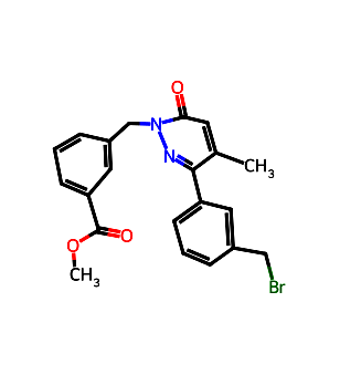 COC(=O)c1cccc(Cn2nc(-c3cccc(CBr)c3)c(C)cc2=O)c1